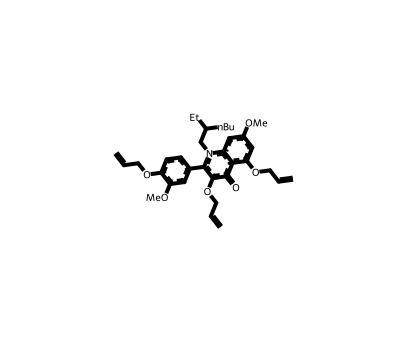 C=CCOc1ccc(-c2c(OCC=C)c(=O)c3c(OCC=C)cc(OC)cc3n2CC(CC)CCCC)cc1OC